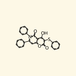 O=c1oc2cc(-c3ccccc3)n(-c3ccccc3)c(=O)c2c(O)c1Sc1ccccc1